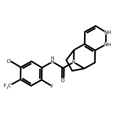 O=C(Nc1cc(Cl)c(C(F)(F)F)cc1F)N1C2CCC1C1=C(C2)NNC=C1